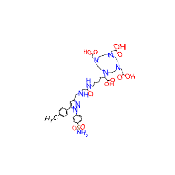 Cc1ccc(-c2cc(CNCC(=O)NCCCCC(C(=O)O)N3CCN(CC(=O)O)CCN(CC(=O)O)CCN(CC(=O)O)CC3)nn2-c2ccc(S(N)(=O)=O)cc2)cc1